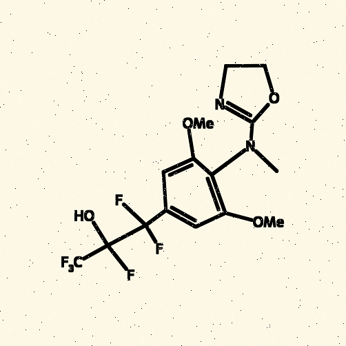 COc1cc(C(F)(F)C(O)(F)C(F)(F)F)cc(OC)c1N(C)C1=NCCO1